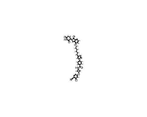 N#Cc1ccc(O[C@H]2C[C@H](NC(=O)c3ccc(-n4cc(CCCCCCOc5cccc6c5CN(C5CCC(=O)NC5=O)C6=O)nn4)cc3)C2)cc1Cl